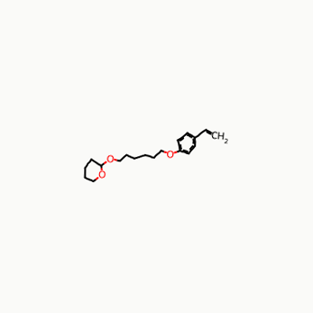 C=Cc1ccc(OCCCCCCOC2CCCCO2)cc1